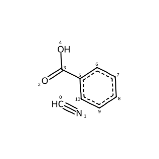 C#N.O=C(O)c1ccccc1